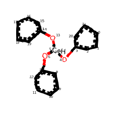 c1ccc([O][GeH]([O]c2ccccc2)[O]c2ccccc2)cc1